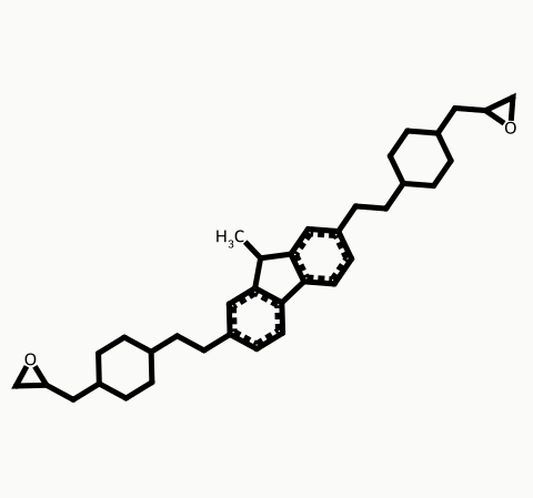 CC1c2cc(CCC3CCC(CC4CO4)CC3)ccc2-c2ccc(CCC3CCC(CC4CO4)CC3)cc21